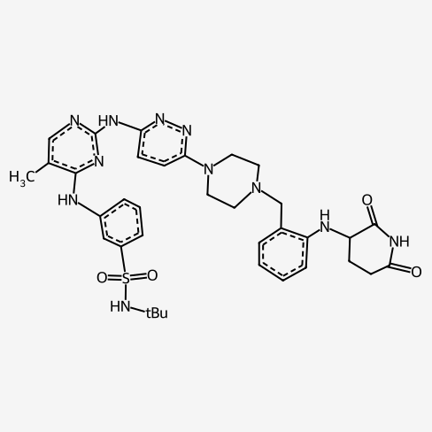 Cc1cnc(Nc2ccc(N3CCN(Cc4ccccc4NC4CCC(=O)NC4=O)CC3)nn2)nc1Nc1cccc(S(=O)(=O)NC(C)(C)C)c1